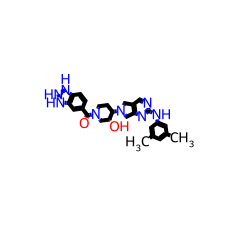 Cc1cc(C)cc(Nc2ncc3c(n2)CN(C2CCN(C(=O)c4ccc5c(c4)NNN5)CC2O)C3)c1